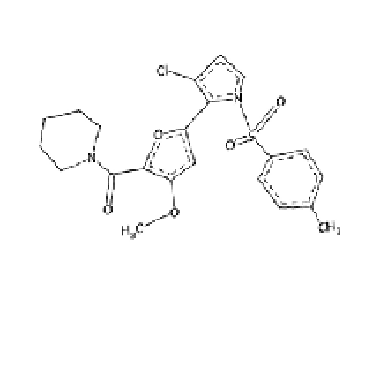 COc1cc(-c2c(Cl)ccn2S(=O)(=O)c2ccc(C)cc2)oc1C(=O)N1CCCCC1